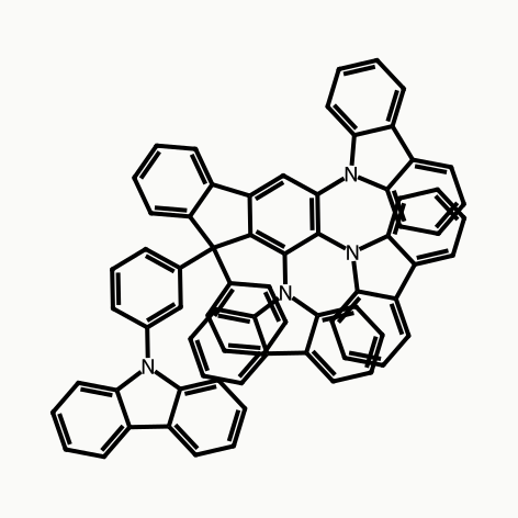 c1ccc(C2(c3cccc(-n4c5ccccc5c5ccccc54)c3)c3ccccc3-c3cc(-n4c5ccccc5c5ccccc54)c(-n4c5ccccc5c5ccccc54)c(-n4c5ccccc5c5ccccc54)c32)cc1